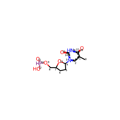 Cc1cn(C2CCC(CO[PH](=O)O)O2)c(=O)[nH]c1=O